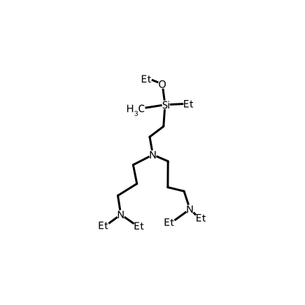 CCO[Si](C)(CC)CCN(CCCN(CC)CC)CCCN(CC)CC